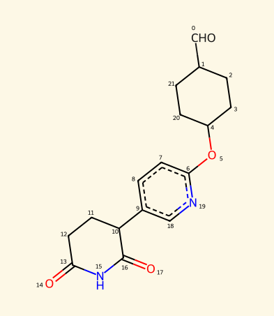 O=CC1CCC(Oc2ccc(C3CCC(=O)NC3=O)cn2)CC1